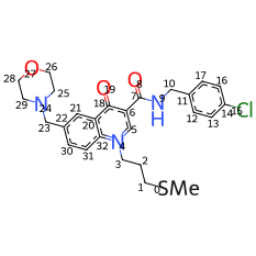 CSCCCn1cc(C(=O)NCc2ccc(Cl)cc2)c(=O)c2cc(CN3CCOCC3)ccc21